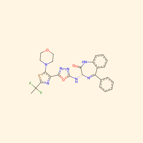 CC(F)(F)c1nc(-c2nnc(N[C@H]3N=C(c4ccccc4)c4ccccc4NC3=O)o2)c(N2CCOCC2)s1